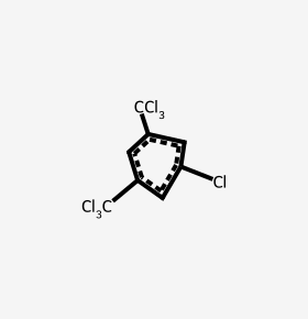 Clc1cc(C(Cl)(Cl)Cl)cc(C(Cl)(Cl)Cl)c1